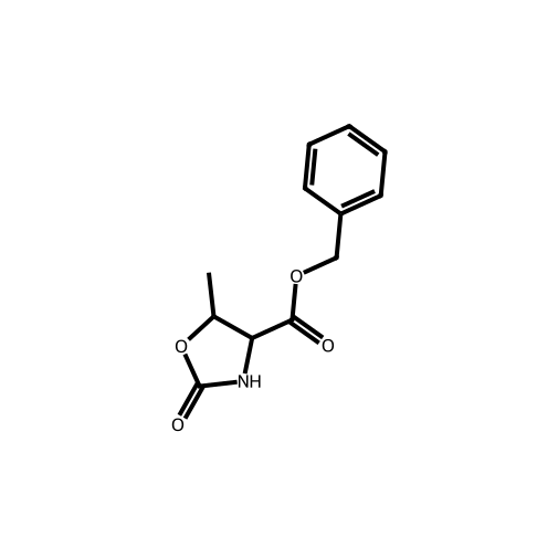 CC1OC(=O)NC1C(=O)OCc1ccccc1